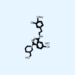 COc1ccc(CCNc2nnc(N3CCCC(CO)C3)c3ccc(C#N)cc23)cc1Cl.Cl